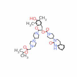 Cc1cc(C[C@@H](OC(=O)N2CCC(N3CCc4ccccc4NC3=O)CC2)C(=O)N2CCC(N3CCN(CC(=O)OC(C)C)CC3)CC2)cc(C)c1O